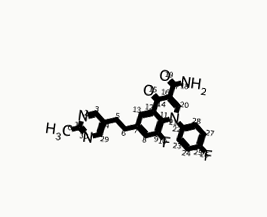 Cc1ncc(CCc2cc(F)c3c(c2)c(=O)c(C(N)=O)cn3-c2ccc(F)cc2)cn1